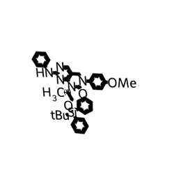 COc1ccc(N2Cc3cnc(Nc4ccccc4)nc3N([C@@H](C)CO[Si](c3ccccc3)(c3ccccc3)C(C)(C)C)C2=O)cc1